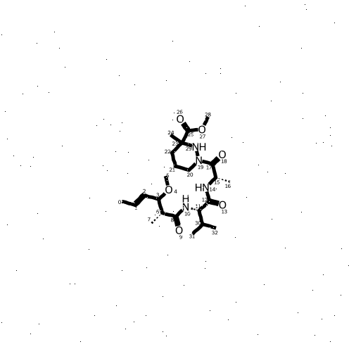 C/C=C/C(OC)[C@@H](C)C(=O)N[C@H](C(=O)N[C@@H](C)C(=O)N1CCCC(C)(C(=O)OC)N1)C(C)C